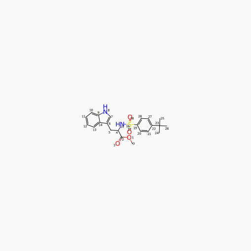 COC(=O)C(Cc1c[nH]c2ccccc12)NS(=O)(=O)c1ccc(C(C)(C)C)cc1